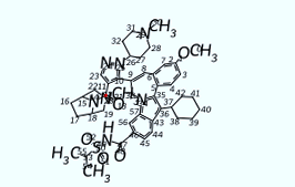 COc1ccc2c(c1)C=C(c1c(C(=O)N3C4CCC3CN(C)C4)cnn1C1CCN(C)CC1)Cn1c-2c(C2CCCCC2)c2ccc(C(=O)NS(=O)(=O)C(C)C)cc21